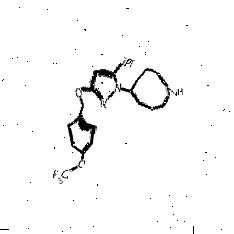 CC(C)c1cc(Oc2ccc(OC(F)(F)F)cc2)nn1C1CCNCC1